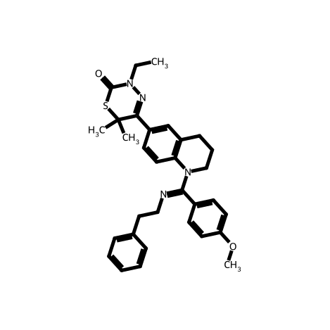 CCN1N=C(c2ccc3c(c2)CCCN3C(=NCCc2ccccc2)c2ccc(OC)cc2)C(C)(C)SC1=O